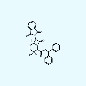 C[C@@]1(Cl)CS[C@H]2C(N3C(=O)c4ccccc4C3=O)C(=O)N2C1C(=O)OC(c1ccccc1)c1ccccc1